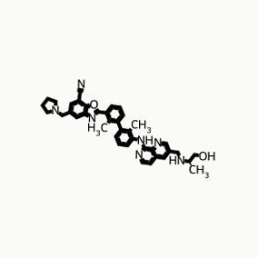 Cc1c(Nc2nccc3cc(CN[C@@H](C)CO)cnc23)cccc1-c1cccc(-c2nc3cc(CN4CCCC4)cc(C#N)c3o2)c1C